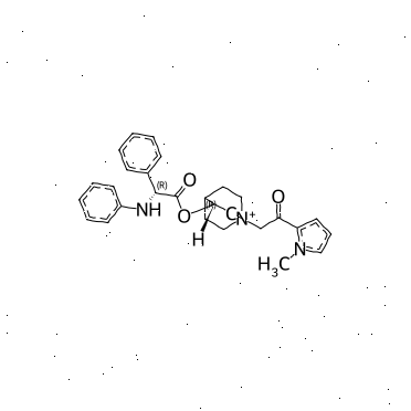 Cn1cccc1C(=O)C[N+]12CCC(CC1)[C@@H](OC(=O)[C@H](Nc1ccccc1)c1ccccc1)C2